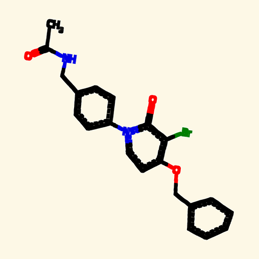 CC(=O)NCc1ccc(-n2ccc(OCc3ccccc3)c(Br)c2=O)cc1